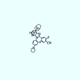 N#Cc1ccc(-c2nc3c(N4C5CCC4CC(N)C5)ccnc3n2-c2ccc(N3CCCC3)cc2F)cc1F